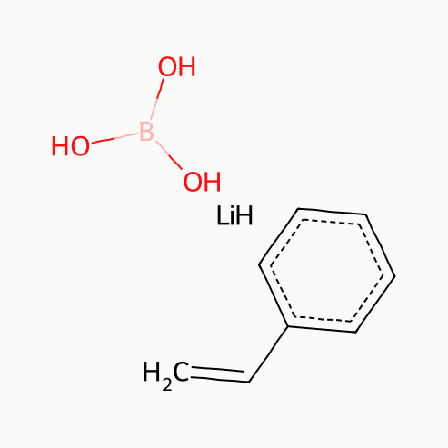 C=Cc1ccccc1.OB(O)O.[LiH]